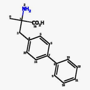 CC(N)(Cc1ccc(-c2ccccc2)cc1)C(=O)O